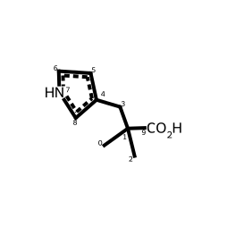 CC(C)(Cc1cc[nH]c1)C(=O)O